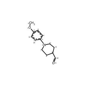 COc1ccc(N2CCC(C=O)CC2)nc1